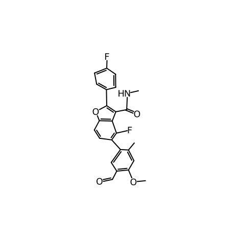 CNC(=O)c1c(-c2ccc(F)cc2)oc2ccc(-c3cc(C=O)c(OC)cc3C)c(F)c12